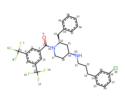 O=C(c1cc(C(F)(F)F)cc(C(F)(F)F)c1)N1CC[C@H](NCCCc2cccc(Cl)c2)C[C@@H]1Cc1ccccc1